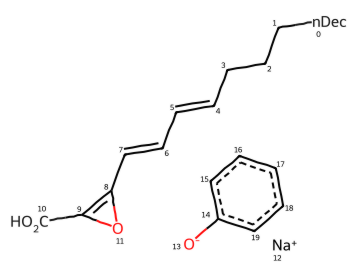 CCCCCCCCCCCCCC=CC=CC1=C(C(=O)O)O1.[Na+].[O-]c1ccccc1